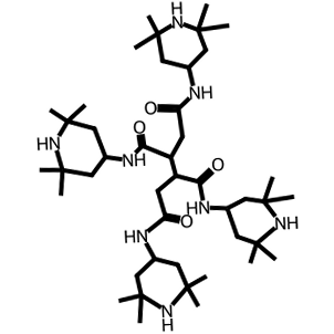 CC1(C)CC(NC(=O)CC(C(=O)NC2CC(C)(C)NC(C)(C)C2)C(CC(=O)NC2CC(C)(C)NC(C)(C)C2)C(=O)NC2CC(C)(C)NC(C)(C)C2)CC(C)(C)N1